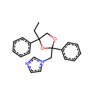 CCC1(c2ccccc2)COC(Cn2ccnc2)(c2ccccc2)O1